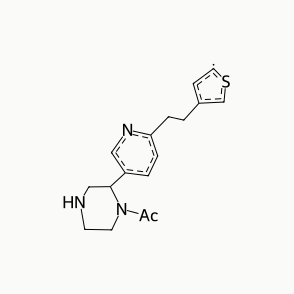 CC(=O)N1CCNCC1c1ccc(CCc2c[c]sc2)nc1